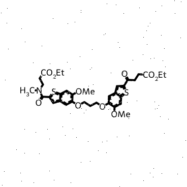 CCOC(=O)CCC(=O)c1cc2cc(OCCCOc3cc4cc(C(=O)N(C)CCC(=O)OCC)sc4cc3OC)c(OC)cc2s1